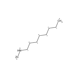 CCCCCCCC[NH][Zn]